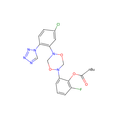 CCCCC(=O)Oc1c(F)cccc1N1CON(c2cc(Cl)ccc2-n2cnnn2)CO1